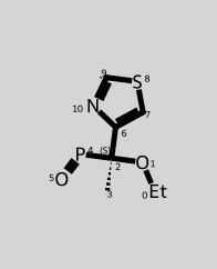 CCO[C@@](C)(P=O)c1cs[c]n1